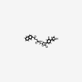 O=C(CCC(=O)c1ccc2ccccc2c1)NC[C@H]1CN(c2ccc(-c3nc[nH]n3)c(F)c2)C(=O)O1